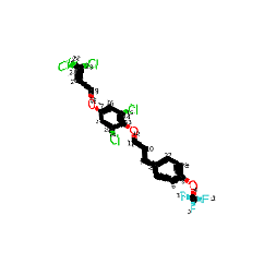 FC(F)(F)Oc1ccc(CCCOc2c(Cl)cc(OCC=C(Cl)Cl)cc2Cl)cc1